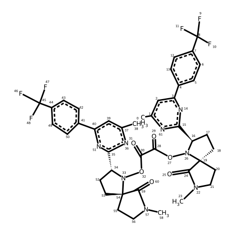 Cc1cc(-c2ccc(C(F)(F)F)cc2)nc([C@H]2CC[C@@]3(CCN(C)C3=O)N2OC(=O)C(=O)ON2[C@@H](c3nc(C)cc(-c4ccc(C(F)(F)F)cc4)n3)CC[C@@]23CCN(C)C3=O)n1